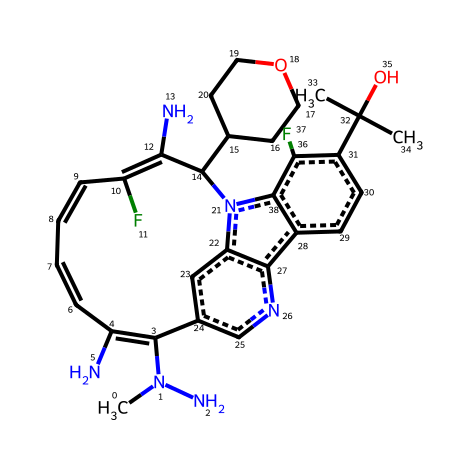 CN(N)/C1=C(N)/C=C\C=C/C(F)=C(\N)C(C2CCOCC2)n2c3cc1cnc3c1ccc(C(C)(C)O)c(F)c12